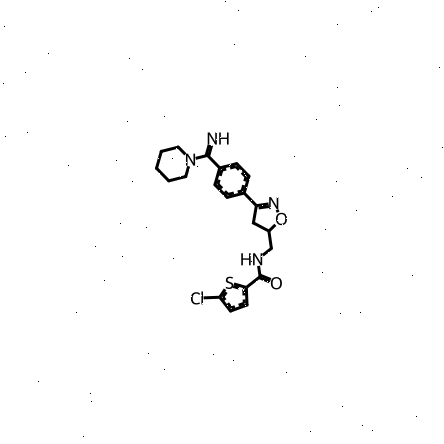 N=C(c1ccc(C2=NOC(CNC(=O)c3ccc(Cl)s3)C2)cc1)N1CCCCC1